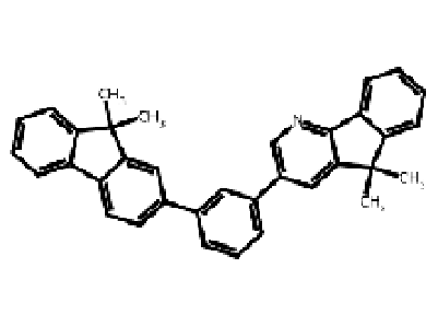 CC1(C)c2ccccc2-c2ccc(-c3cccc(-c4cnc5c(c4)C(C)(C)c4ccccc4-5)c3)cc21